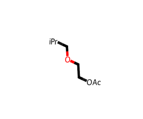 CC(=O)OCCOCC(C)C